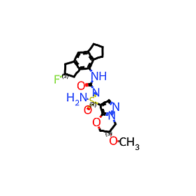 CO[C@@H]1COc2c([S@](N)(=O)=NC(=O)Nc3c4c(cc5c3C[C@@H](F)C5)CCC4)cnn2C1